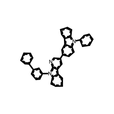 c1ccc(-c2cccc(-n3c4ccccc4c4cc(-c5ccc6c(c5)c5ccccc5n6-c5ccccc5)cnc43)c2)cc1